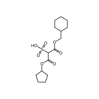 O=C(OCC1CCCCC1)C(C(=O)OC1CCCC1)S(=O)(=O)O